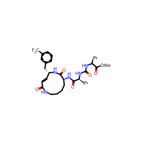 COC(=O)C(NC(=O)N[C@H](C(=O)N[C@H]1CCCCNC(=O)/C=C/[C@H](Cc2cccc(C(F)(F)F)c2)NC1=O)C(C)C)C(C)C